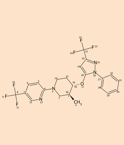 C[C@H]1CN(c2ccc(C(F)(F)F)cn2)CC[C@@H]1Oc1cc(C(F)(F)F)nn1-c1ccccc1